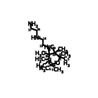 CC1(C)O[Si](C)(C)[Si](C)(C)C(C)(CCCNCCN)C1(C)C